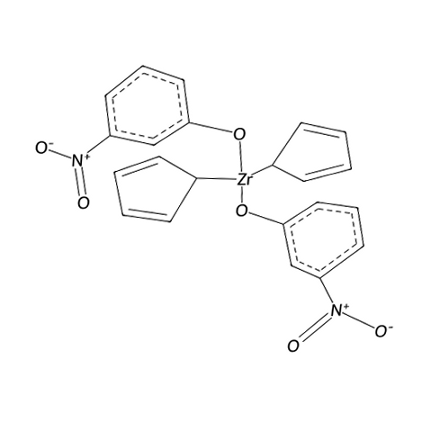 O=[N+]([O-])c1cccc([O][Zr]([O]c2cccc([N+](=O)[O-])c2)([CH]2C=CC=C2)[CH]2C=CC=C2)c1